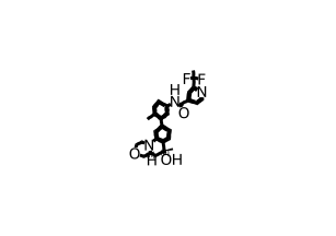 Cc1ccc(NC(=O)c2ccnc(C(C)(F)F)c2)cc1-c1ccc2c(c1)N1CCOC[C@H]1C[C@@]2(C)O